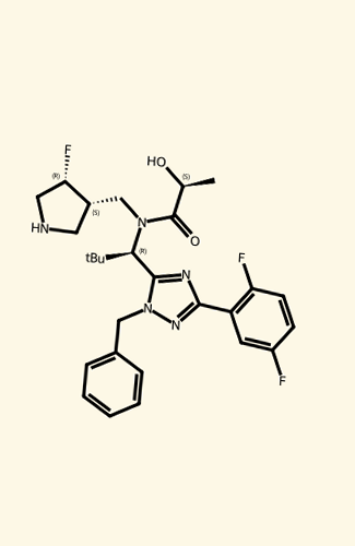 C[C@H](O)C(=O)N(C[C@@H]1CNC[C@@H]1F)[C@@H](c1nc(-c2cc(F)ccc2F)nn1Cc1ccccc1)C(C)(C)C